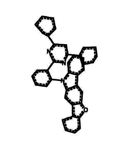 c1ccc(-c2cc(-c3ccccc3)nc(-c3ccccc3-n3c4ccccc4c4cc5oc6ccccc6c5cc43)n2)cc1